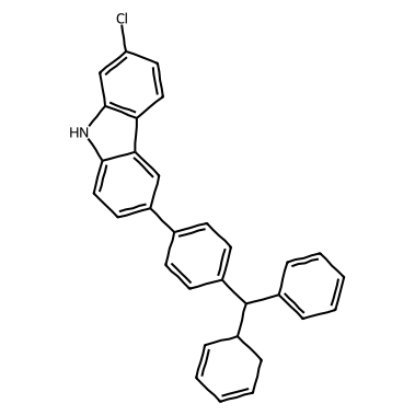 Clc1ccc2c(c1)[nH]c1ccc(-c3ccc(C(c4ccccc4)C4C=CC=CC4)cc3)cc12